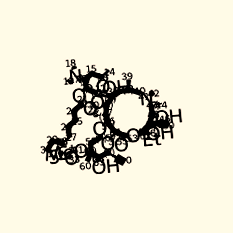 C#C[C@@H]1O[C@@H](O[C@H]2[C@H](C)[C@@H](O[C@@H]3O[C@H](C)C[C@H](N(C)C)[C@H]3OC(=O)CCCC[C@@H]3CCS[S+]3[O-])[C@](C)(O)C[C@@H](C)CN(C)[C@H](C)[C@@H](O)[C@@](O)(C#C)[C@@H](CC)OC(=O)[C@@H]2C)C[C@@](C)(OC)[C@H]1O